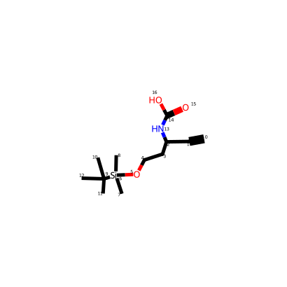 C#CC(CCO[Si](C)(C)C(C)(C)C)NC(=O)O